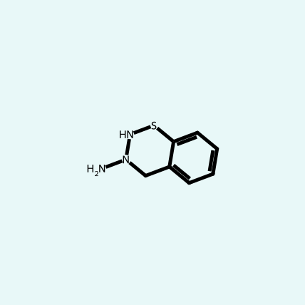 NN1Cc2ccccc2SN1